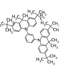 CC(C)(C)c1ccc2c(c1)C(C)(C)c1cc(C(C)(C)C)ccc1N2c1cccc(N2c3ccc(C(C)(C)C)cc3C(C)(C)c3cc(C(C)(C)C)ccc32)c1